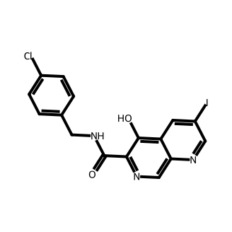 O=C(NCc1ccc(Cl)cc1)c1ncc2ncc(I)cc2c1O